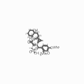 COc1ccc(CN(C2CC2)[C@H](CS(C)(=O)=O)C(=O)N2CCC[C@H]3CCCC[C@@H]32)c(OC)c1